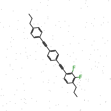 CCCc1ccc(C#Cc2ccc(C#Cc3ccc(CCC)c(F)c3F)cc2)cc1